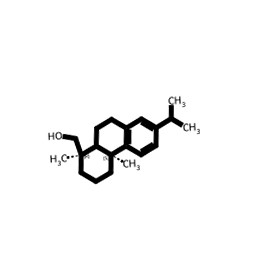 CC(C)c1ccc2c(c1)CCC1[C@](C)(CO)CCC[C@]21C